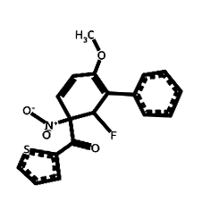 COC1=C(c2ccccc2)C(F)C(C(=O)c2cccs2)([N+](=O)[O-])C=C1